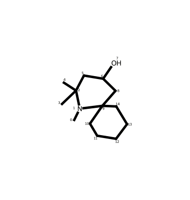 CN1C(C)(C)CC(O)CC12CCCCC2